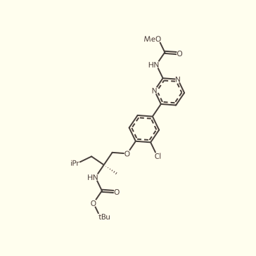 COC(=O)Nc1nccc(-c2ccc(OC[C@](C)(CC(C)C)NC(=O)OC(C)(C)C)c(Cl)c2)n1